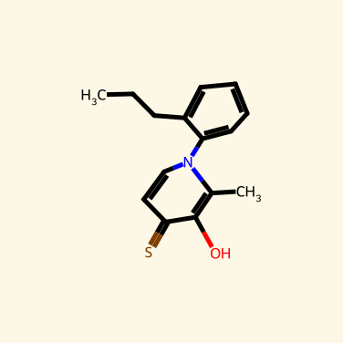 CCCc1ccccc1-n1ccc(=S)c(O)c1C